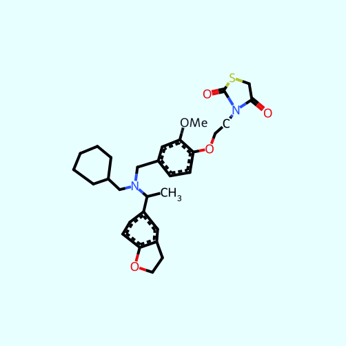 COc1cc(CN(CC2CCCCC2)C(C)c2ccc3c(c2)CCO3)ccc1OCCN1C(=O)CSC1=O